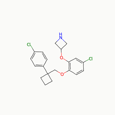 Clc1ccc(C2(COc3ccc(Cl)cc3OC3CNC3)CCC2)cc1